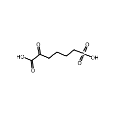 O=C(O)C(=O)CCCCS(=O)(=O)O